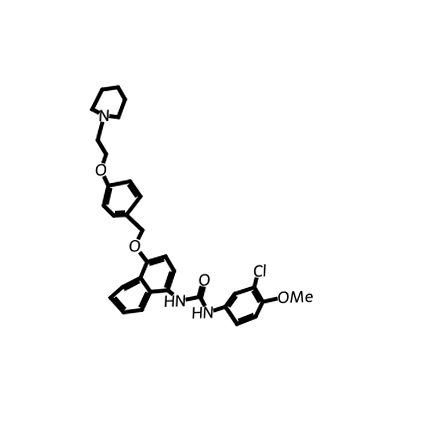 COc1ccc(NC(=O)Nc2ccc(OCc3ccc(OCCN4CCCCC4)cc3)c3ccccc23)cc1Cl